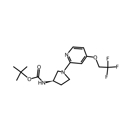 CC(C)(C)OC(=O)N[C@@H]1CCN(c2cc(OCC(F)(F)F)ccn2)C1